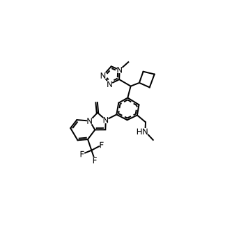 C=C1N2C=CC=C(C(F)(F)F)C2=CN1c1cc(CNC)cc(C(c2nncn2C)C2CCC2)c1